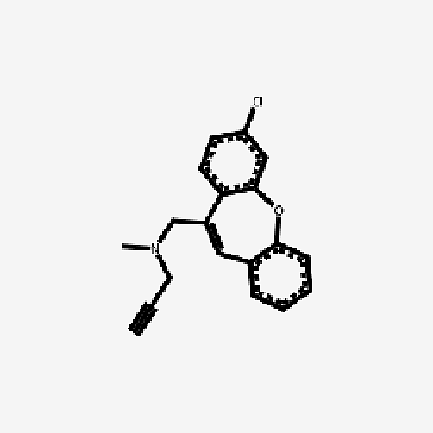 C#CCN(C)CC1=Cc2ccccc2Oc2cc(Cl)ccc21